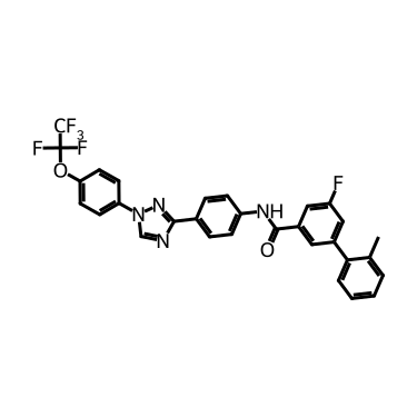 Cc1ccccc1-c1cc(F)cc(C(=O)Nc2ccc(-c3ncn(-c4ccc(OC(F)(F)C(F)(F)F)cc4)n3)cc2)c1